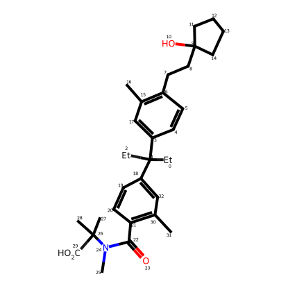 CCC(CC)(c1ccc(CCC2(O)CCCC2)c(C)c1)c1ccc(C(=O)N(C)C(C)(C)C(=O)O)c(C)c1